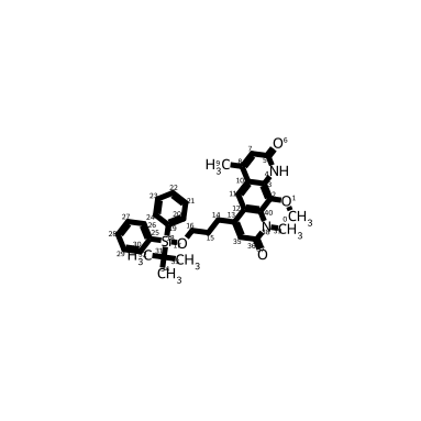 COc1c2[nH]c(=O)cc(C)c2cc2c(CCCO[Si](c3ccccc3)(c3ccccc3)C(C)(C)C)cc(=O)n(C)c12